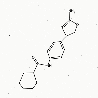 NC1=NC(c2ccc(NC(=O)C3CCCCC3)cc2)CO1